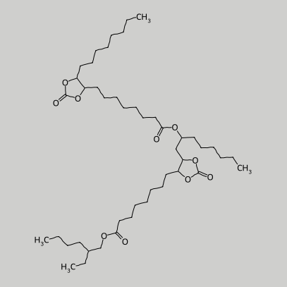 CCCCCCCCC1OC(=O)OC1CCCCCCCC(=O)OC(CCCCCC)CC1OC(=O)OC1CCCCCCCC(=O)OCC(CC)CCCC